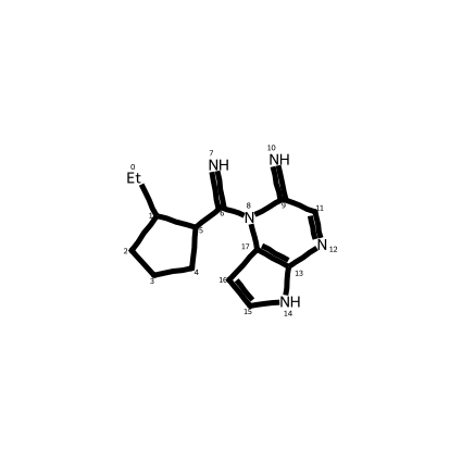 CCC1CCCC1C(=N)n1c(=N)cnc2[nH]ccc21